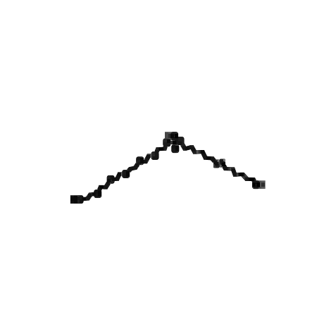 O=P(O)(OCCCCCCSSCCCCCCO)OCCOCCOCCOCCOCCOCCO